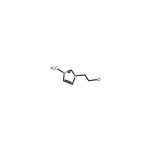 C[n+]1ccn(CCCl)c1